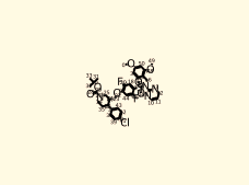 COc1ccc(CN(c2ncccn2)S(=O)(=O)c2cc(F)c(OC[C@H]3CN(C(=O)OC(C)(C)C)CC[C@@H]3c3ccc(Cl)cc3)cc2F)c(OC)c1